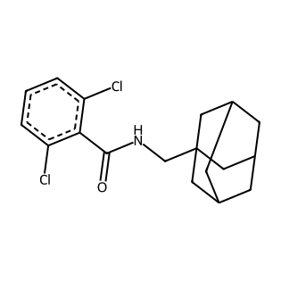 O=C(NCC12CC3CC(CC(C3)C1)C2)c1c(Cl)cccc1Cl